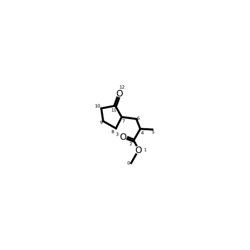 COC(=O)C(C)CC1CCCC1=O